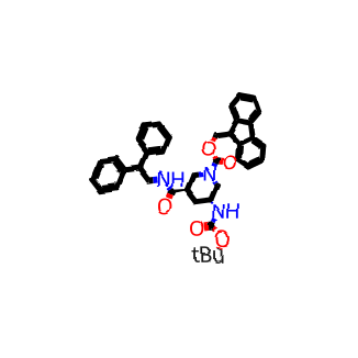 CC(C)(C)OC(=O)N[C@@H]1C[C@@H](C(=O)NCC(c2ccccc2)c2ccccc2)CN(C(=O)OCC2c3ccccc3-c3ccccc32)C1